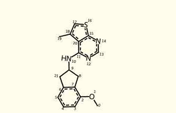 COc1cccc2c1CC(Nc1ncnc3scc(C)c13)C2